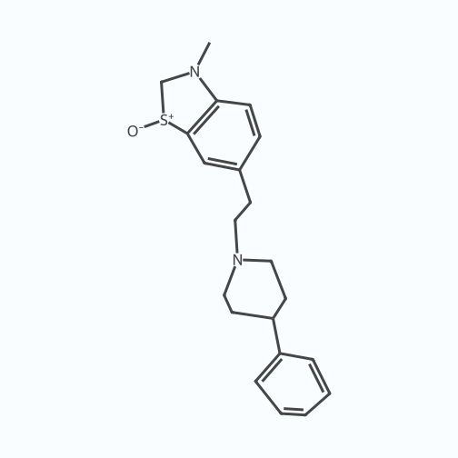 CN1C[S+]([O-])c2cc(CCN3CCC(c4ccccc4)CC3)ccc21